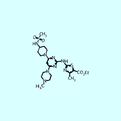 CCOC(=O)c1sc(Nc2nc(N3CCC(NS(C)(=O)=O)CC3)cc(N3CCN(C)CC3)n2)nc1C